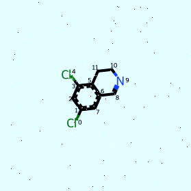 Clc1cc(Cl)c2c(c1)C=NCC2